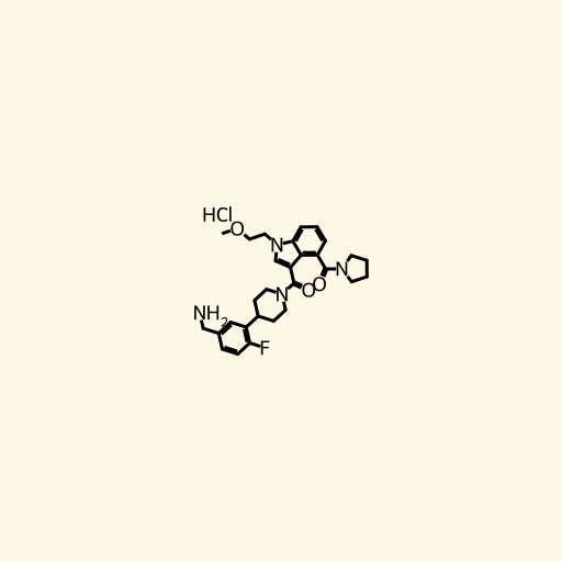 COCCn1cc(C(=O)N2CCC(c3cc(CN)ccc3F)CC2)c2c(C(=O)N3CCCC3)cccc21.Cl